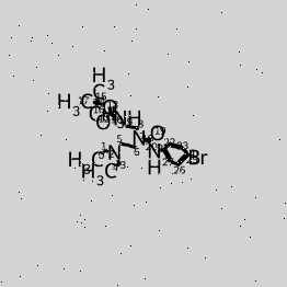 CCN(CC)CCN(CCNC(=O)OC(C)(C)C)C(=O)Nc1ccc(Br)cc1